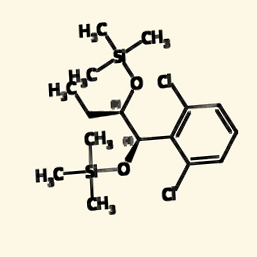 CC[C@@H](O[Si](C)(C)C)[C@H](O[Si](C)(C)C)c1c(Cl)cccc1Cl